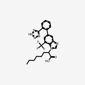 CCCCCCC(C(=O)O)n1cnc2cc(-c3ccccc3-c3nn[nH]n3)cc(C(F)(F)F)c21